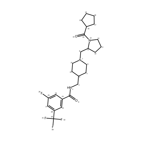 O=C(NCC1CCN(CC2CCCN2C(=O)C2CCCC2)CC1)c1cc(F)cc(C(F)(F)F)c1